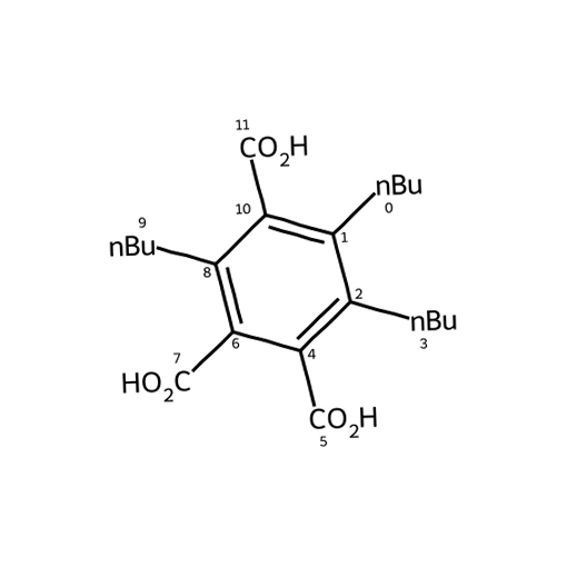 CCCCc1c(CCCC)c(C(=O)O)c(C(=O)O)c(CCCC)c1C(=O)O